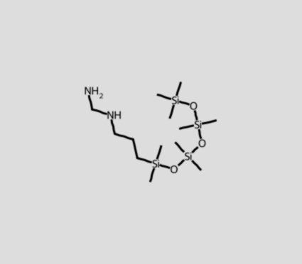 C[Si](C)(C)O[Si](C)(C)O[Si](C)(C)O[Si](C)(C)CCCNCN